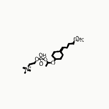 CCCCCCCCCCCCCC=C1CCC(OC(C)OP(=O)(O)OCC[N+](C)(C)C)CC1